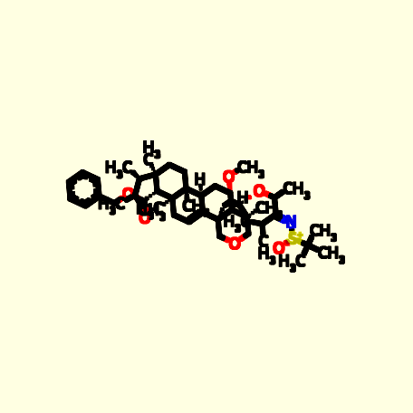 CO[C@@H]1C[C@@]23COC[C@@](C)([C@@H]2CC[C@H]2C3=CC[C@@]3(C)[C@H](C(=O)OCc4ccccc4)[C@@](C)([C@H](C)C(C)C)CC[C@]23C)[C@H]1OC(C)/C(=N/[S+]([O-])C(C)(C)C)C(C)C